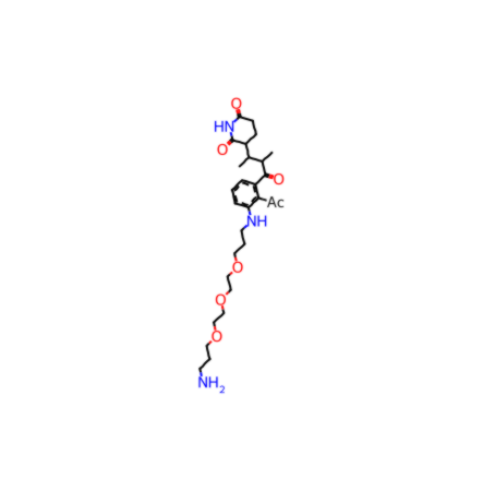 CC(=O)c1c(NCCCOCCOCCOCCCN)cccc1C(=O)C(C)C(C)C1CCC(=O)NC1=O